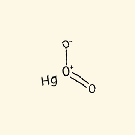 O=[O+][O-].[Hg]